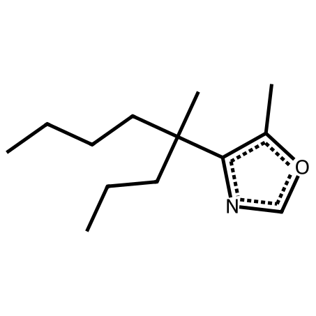 CCCCC(C)(CCC)c1ncoc1C